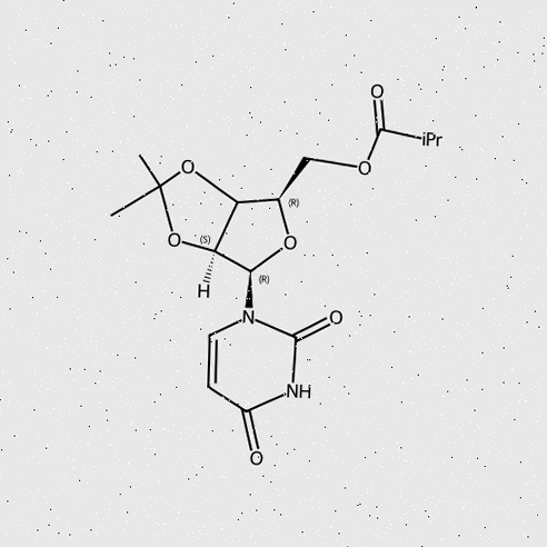 CC(C)C(=O)OC[C@H]1O[C@@H](n2ccc(=O)[nH]c2=O)[C@H]2OC(C)(C)OC12